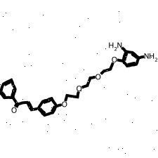 Nc1ccc(OCCOCCOCCOc2ccc(C=CC(=O)c3ccccc3)cc2)c(N)c1